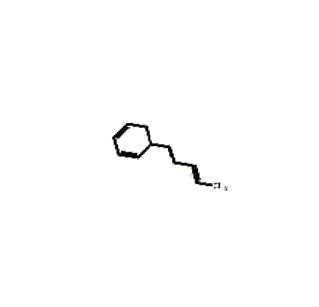 C/C=C/CC[C]1C=CC=CC1